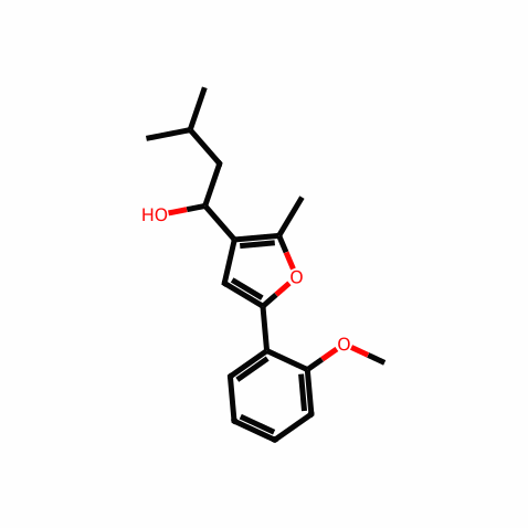 COc1ccccc1-c1cc(C(O)CC(C)C)c(C)o1